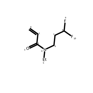 C=CC(=O)N(CC)CCC(F)F